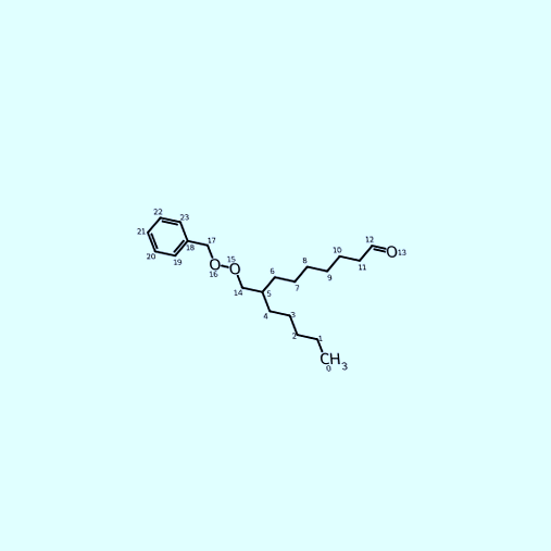 CCCCCC(CCCCCCC=O)COOCc1ccccc1